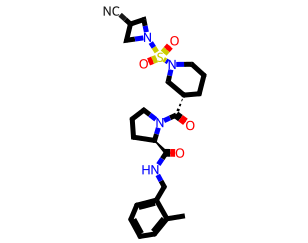 Cc1ccccc1CNC(=O)[C@H]1CCCN1C(=O)[C@H]1CCCN(S(=O)(=O)N2CC(C#N)C2)C1